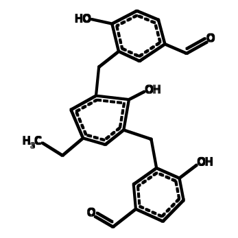 CCc1cc(Cc2cc(C=O)ccc2O)c(O)c(Cc2cc(C=O)ccc2O)c1